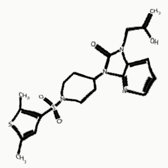 C=C(O)Cn1c(=O)n(C2CCN(S(=O)(=O)c3cc(C)sc3C)CC2)c2ncccc21